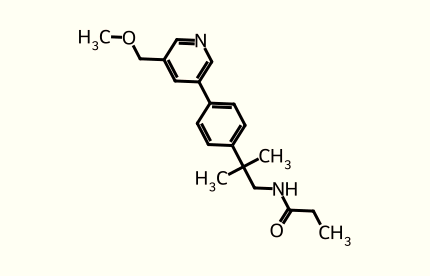 CCC(=O)NCC(C)(C)c1ccc(-c2cncc(COC)c2)cc1